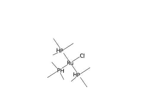 C[PH](C)(C)[Ru]([Cl])([PH](C)(C)C)[PH](C)(C)C